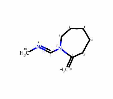 C=C1CCCCCN1/C=N/C